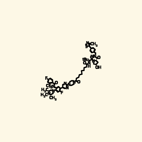 Cc1ncsc1-c1ccc(CNC(=O)[C@@H]2C[C@H](O)CN2C(=O)[C@@H](NC(=O)CCCCCCCCC(=O)N2CCN(c3ncc(-c4cc(NC(=O)c5ccc(F)cc5C(F)(F)F)c(N5C[C@@H](C)N(C)[C@@H](C)C5)cc4F)cn3)CC2)C(C)(C)C)cc1